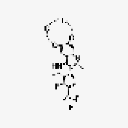 Cc1nc(NC(C)c2cccc(C3CC3(F)F)c2F)c2cc3c(cc2n1)OCCOCCOCCO3